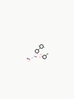 COc1cc(F)cc(-c2ccc3c(c2)N(S(=O)(=O)c2cccc(C(F)(F)F)c2)C[C@H](CNC(=O)C(C)(C)O)O3)c1F